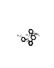 CC1C=C(Nc2ccccc2C2CCC(N)C(C)(C3(C)C=CC=CC3)C2)C=CC1